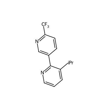 CC(C)c1cccnc1-c1ccc(C(F)(F)F)nc1